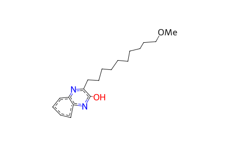 COCCCCCCCCCCc1nc2ccccc2nc1O